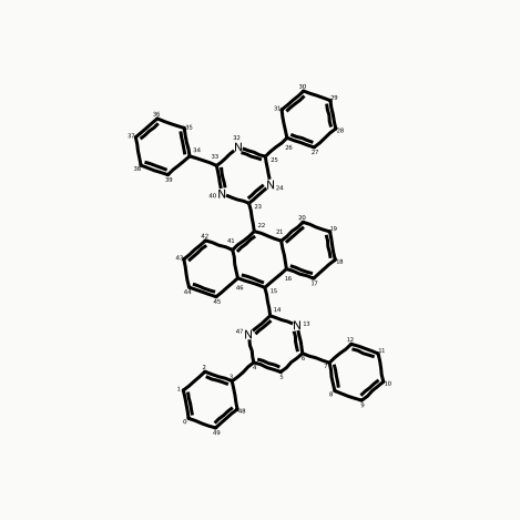 c1ccc(-c2cc(-c3ccccc3)nc(-c3c4ccccc4c(-c4nc(-c5ccccc5)nc(-c5ccccc5)n4)c4ccccc34)n2)cc1